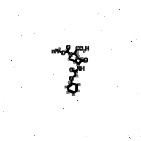 CCCOC(=O)N1CC2[C@@H](NC(=O)COc3ccccc3)C(=O)N2C1C(=O)O